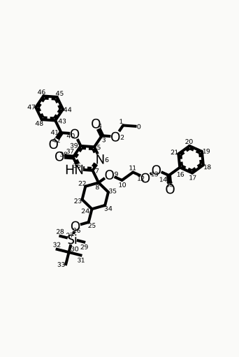 CCOC(=O)c1nc(C2(OCCOOC(=O)c3ccccc3)CCC(CO[Si](C)(C)C(C)(C)C)CC2)[nH]c(=O)c1OC(=O)c1ccccc1